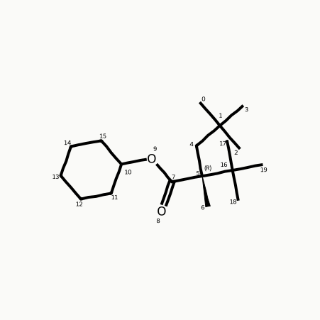 CC(C)(C)C[C@@](C)(C(=O)OC1CCCCC1)C(C)(C)C